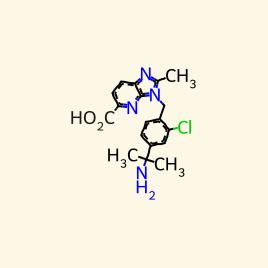 Cc1nc2ccc(C(=O)O)nc2n1Cc1ccc(C(C)(C)N)cc1Cl